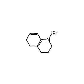 CC(C)N1CCCC2=C1C=CCC2